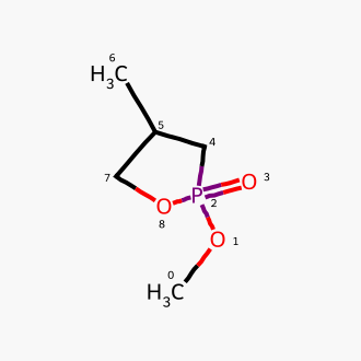 COP1(=O)CC(C)CO1